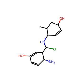 CC1CC(O)C=CC1NC(Cl)C1C=C(O)C=CC1N